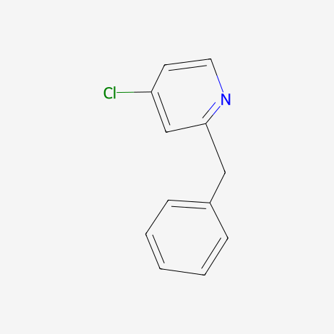 Clc1ccnc(Cc2ccccc2)c1